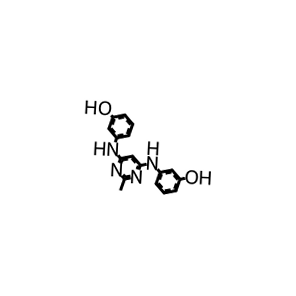 Cc1nc(Nc2cccc(O)c2)cc(Nc2cccc(O)c2)n1